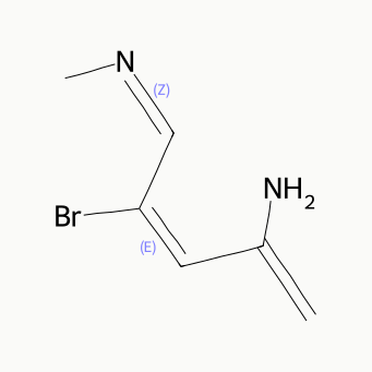 C=C(N)/C=C(Br)\C=N/C